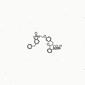 CNc1ccccc1C(=O)C(Cc1ccc(OCCn2c(=O)sc3cc(Cc4ccccc4)ccc32)cc1)C(=O)O